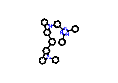 c1ccc(-c2nc(-c3ccccc3)nc(-c3cccc(-n4c5ccccc5c5ccc(-c6cccc(-c7ccc8c9ccccc9n(-c9ccccc9)c8c7)c6)cc54)c3)n2)cc1